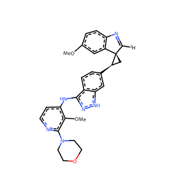 [2H]C1=Nc2ccc(OC)cc2[C@]12C[C@H]2c1ccc2c(Nc3ccnc(N4CCOCC4)c3OC)n[nH]c2c1